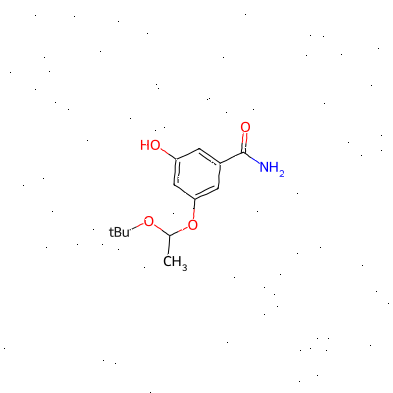 CC(Oc1cc(O)cc(C(N)=O)c1)OC(C)(C)C